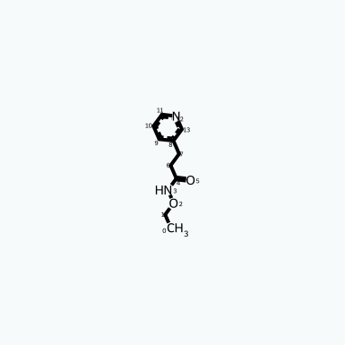 CCONC(=O)[CH]Cc1cccnc1